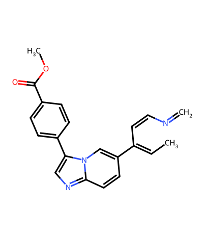 C=N/C=C\C(=C/C)c1ccc2ncc(-c3ccc(C(=O)OC)cc3)n2c1